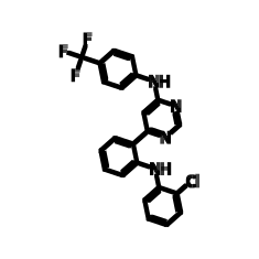 FC(F)(F)c1ccc(Nc2cc(-c3ccccc3Nc3ccccc3Cl)ncn2)cc1